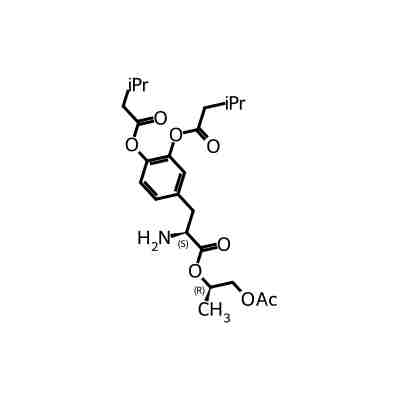 CC(=O)OC[C@@H](C)OC(=O)[C@@H](N)Cc1ccc(OC(=O)CC(C)C)c(OC(=O)CC(C)C)c1